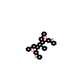 c1ccc(-c2c3cc(-c4ccc5sc6ccccc6c5c4)c4c(ccc5c6ccccc6oc54)c3cc3c2cc(-c2ccc4sc5ccccc5c4c2)c2c3ccc3c4ccccc4oc32)cc1